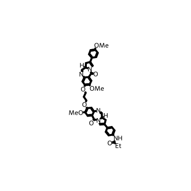 CCC(=O)Nc1ccc(C2=CN3C(=O)c4cc(OC)c(OCCCOc5cc6c(cc5OC)C(=O)N5C=C(c7ccc(OC)cc7)C[C@H]5C=N6)cc4N=C[C@@H]3C2)cc1